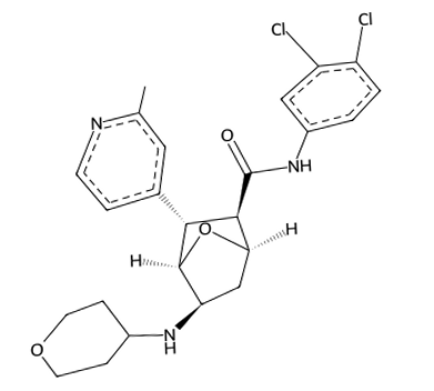 Cc1cc([C@H]2[C@H]3O[C@H](C[C@H]3NC3CCOCC3)[C@@H]2C(=O)Nc2ccc(Cl)c(Cl)c2)ccn1